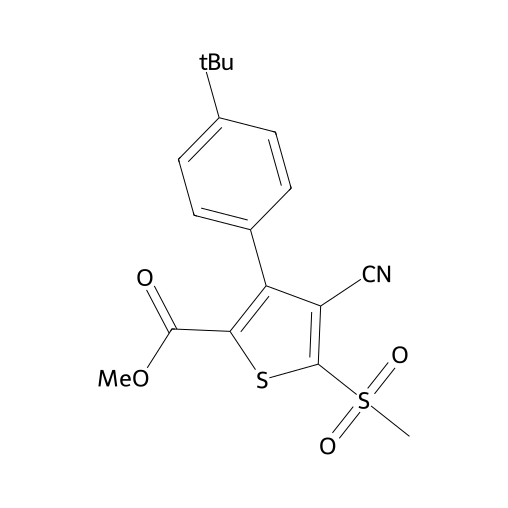 COC(=O)c1sc(S(C)(=O)=O)c(C#N)c1-c1ccc(C(C)(C)C)cc1